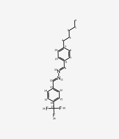 CCCCCc1ccc(/C=N/N=C/c2ccc(C(F)(F)F)cc2)cc1